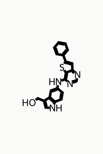 OCc1c[nH]c2ccc(Nc3ncnc4cc(-c5ccccc5)sc34)cc12